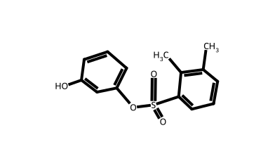 Cc1cccc(S(=O)(=O)Oc2cccc(O)c2)c1C